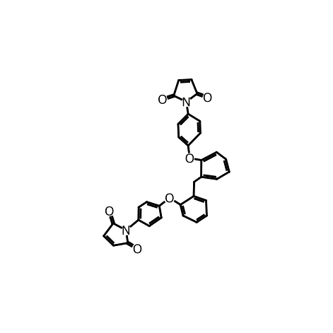 O=C1C=CC(=O)N1c1ccc(Oc2ccccc2Cc2ccccc2Oc2ccc(N3C(=O)C=CC3=O)cc2)cc1